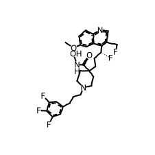 COc1ccc2ncc(CF)c([C@H](F)CCC3(C(=O)NO)CCN(CCCc4cc(F)c(F)c(F)c4)CC3)c2c1